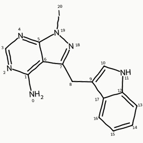 Nc1ncnc2c1c(Cc1c[nH]c3ccccc13)nn2I